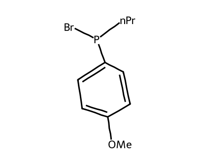 CCCP(Br)c1ccc(OC)cc1